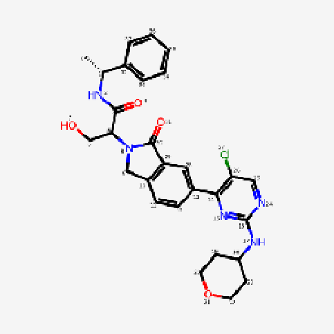 C[C@@H](NC(=O)C(CO)N1Cc2ccc(-c3nc(NC4CCOCC4)ncc3Cl)cc2C1=O)c1ccccc1